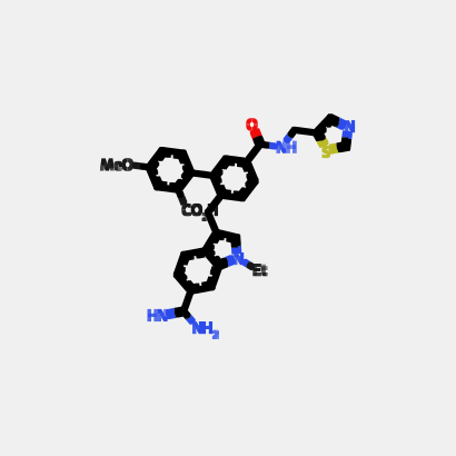 CCn1cc(Cc2ccc(C(=O)NCc3cncs3)cc2-c2ccc(OC)cc2C(=O)O)c2ccc(C(=N)N)cc21